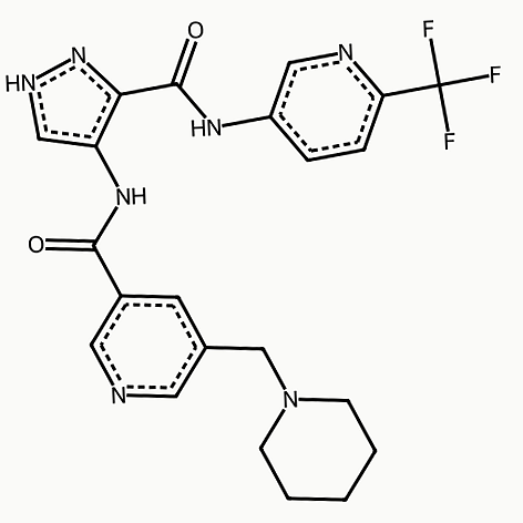 O=C(Nc1c[nH]nc1C(=O)Nc1ccc(C(F)(F)F)nc1)c1cncc(CN2CCCCC2)c1